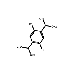 CC(=O)OC(OC(C)=O)c1cc(Br)c(C(OC(C)=O)OC(C)=O)cc1Br